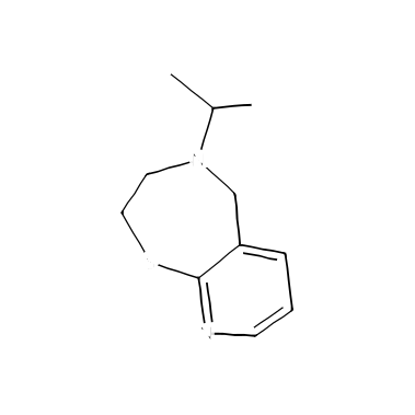 CC(C)N1CCSc2ncccc2C1